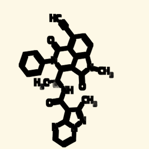 C#Cc1ccc2c3c(c([C@@H](C)NC(=O)c4c(C)nn5cccnc45)n(-c4ccccc4)c(=O)c13)C(=O)N2C